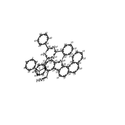 N=Cc1c(Nc2ccccc2)ccc2c1c1ccc3ccc4ccccc4c3c1n2-c1ccccc1-c1nc(-c2ccccc2)nc(-c2ccccc2)n1